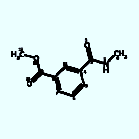 CNC(=O)c1cccc(C(=O)OC)c1